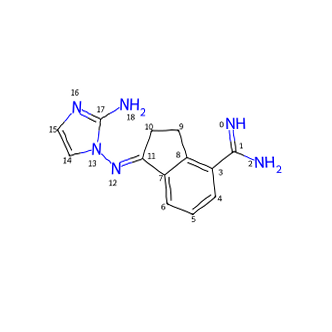 N=C(N)c1cccc2c1CC/C2=N\n1ccnc1N